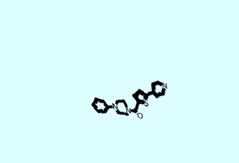 O=C(c1ccc(-c2ccncc2)s1)N1CCN(c2ccccc2)CC1